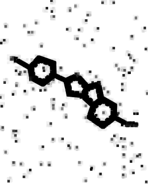 COc1ccc2c(c1)sc1nc(-c3ccc([18F])nc3)cn12